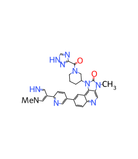 CN/C=C(\C=N)c1ccc(-c2ccc3ncc4c(c3c2)n(C2CCCN(C(=O)c3nc[nH]n3)C2)c(=O)n4C)cn1